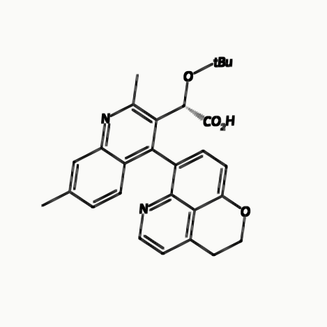 Cc1ccc2c(-c3ccc4c5c(ccnc35)CCO4)c([C@H](OC(C)(C)C)C(=O)O)c(C)nc2c1